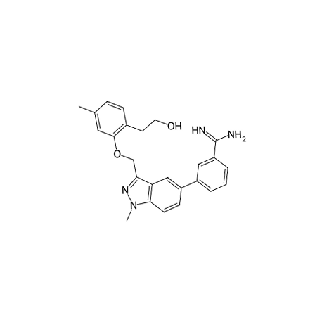 Cc1ccc(CCO)c(OCc2nn(C)c3ccc(-c4cccc(C(=N)N)c4)cc23)c1